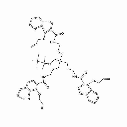 C=CCOc1c(C(=O)NCCCC(CCCNC(=O)c2ccc3cccnc3c2OCC=C)(CCCNC(=O)c2ccc3cccnc3c2OCC=C)CO[Si](C)(C)C(C)(C)C)ccc2cccnc12